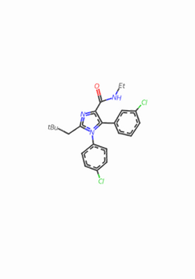 CCNC(=O)c1nc(CC(C)(C)C)n(-c2ccc(Cl)cc2)c1-c1cccc(Cl)c1